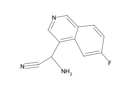 N#CC(N)c1cncc2ccc(F)cc12